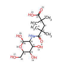 CC(C)(CC(C)(C)C(=O)NC1C(O)C(O)C(CO)O[C@H]1O)C(=O)O